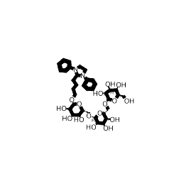 OC[C@H]1O[C@@H](OC[C@H]2O[C@@H](OC[C@H]3O[C@@H](OCCCCC4N(c5ccccc5)CCN4c4ccccc4)[C@H](O)[C@@H](O)[C@@H]3O)[C@H](O)[C@@H](O)[C@@H]2O)[C@H](O)[C@@H](O)[C@@H]1O